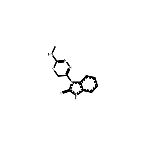 CNC1=NN=C(n2c(=O)[nH]c3ccccc32)CS1